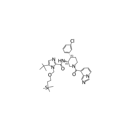 CC(C)(C)c1cnc(C(=O)N[C@@H]2CN(C(=O)c3cccn4cncc34)CC[C@H]2c2cccc(Cl)c2)n1COCC[Si](C)(C)C